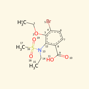 CCOc1c(Br)ccc(C(=O)O)c1N(CC)S(C)(=O)=O